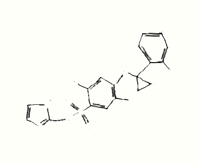 O=S(=O)(Nc1nccs1)c1cc(Cl)c(NC2(c3ccccc3F)CC2)cc1F